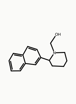 OCN1CCCCC1c1ccc2ccccc2c1